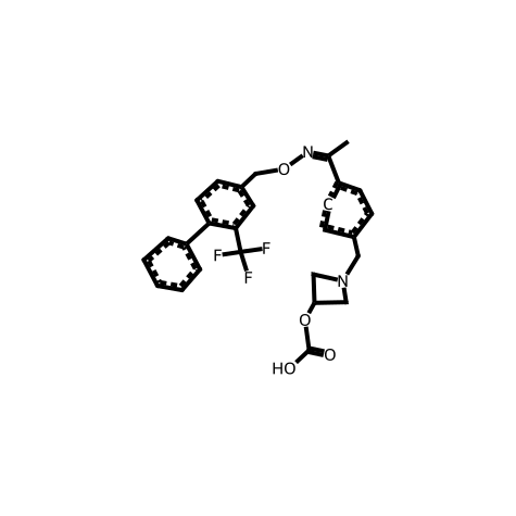 CC(=NOCc1ccc(-c2ccccc2)c(C(F)(F)F)c1)c1ccc(CN2CC(OC(=O)O)C2)cc1